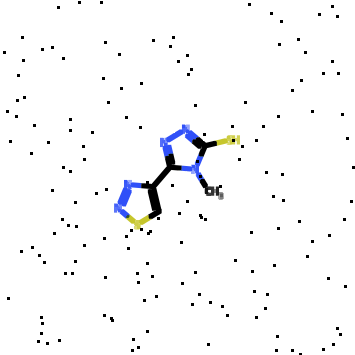 Cn1c(S)nnc1-c1csnn1